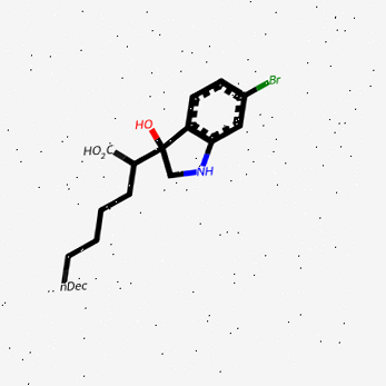 CCCCCCCCCCCCCCC(C(=O)O)C1(O)CNc2cc(Br)ccc21